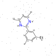 CCc1cc(C)cc(-c2nc(C)cc(C)n2)c1